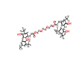 CC(C)(C)c1cc(Cc2cc(CCC(=O)OCCOCCOCCOC(=O)CCc3cc(Cc4cc(C(C)(C)C)cc(C(C)(C)C)c4O)c(O)c(C(C)(C)C)c3)cc(C(C)(C)C)c2O)c(O)c(C(C)(C)C)c1